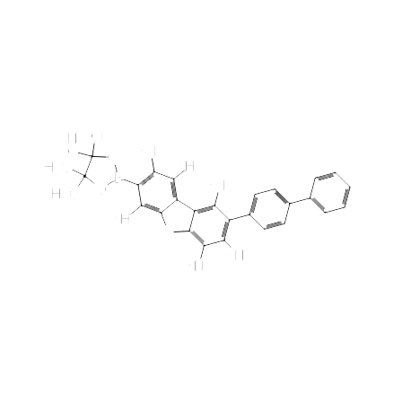 [2H]c1c(-c2ccc(-c3ccccc3)cc2)c([2H])c2c(sc3c([2H])c(B4OC(C)(C)C(C)(C)O4)c([2H])c([2H])c32)c1[2H]